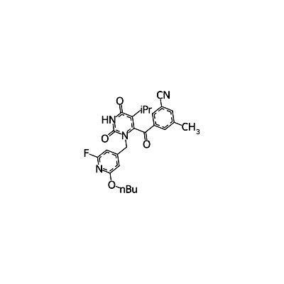 CCCCOc1cc(Cn2c(C(=O)c3cc(C)cc(C#N)c3)c(C(C)C)c(=O)[nH]c2=O)cc(F)n1